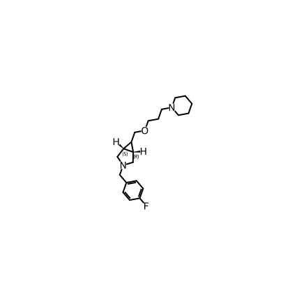 Fc1ccc(CN2C[C@@H]3C(COCCCN4CCCCC4)[C@@H]3C2)cc1